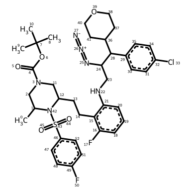 CC1CN(C(=O)OC(C)(C)C)CC(CCc2c(F)cccc2NCC(N=[N+]=[N-])C(c2ccc(Cl)cc2)C2CCOCC2)N1S(=O)(=O)c1ccc(F)cc1